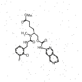 COC(=O)CCC[C@@H](COC(=O)Nc1cc2cnccc2cn1)N(C)C(=O)NCc1cccc(F)c1Cl